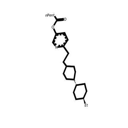 CCCCCC(=O)Oc1ccc(CCC2CCC([C@H]3CC[C@H](CC)CC3)CC2)nc1